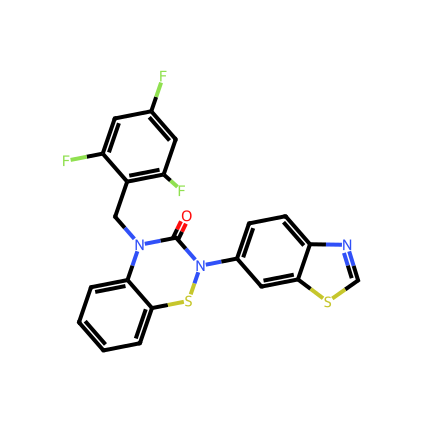 O=C1N(Cc2c(F)cc(F)cc2F)c2ccccc2SN1c1ccc2ncsc2c1